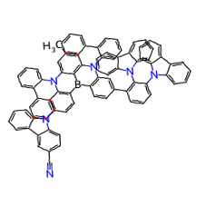 Cc1cc2c3c(c1)N(c1ccccc1-c1ccccc1)c1cc(-n4c5ccccc5c5cc(C#N)ccc54)ccc1B3c1ccc(-c3cccc(-n4c5ccccc5c5ccccc54)c3-n3c4ccccc4c4ccccc43)cc1N2c1ccccc1-c1ccccc1